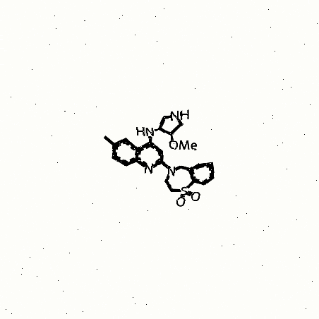 CO[C@@H]1CNC[C@H]1Nc1cc(N2CCS(=O)(=O)c3ccccc3C2)nc2ccc(C)cc12